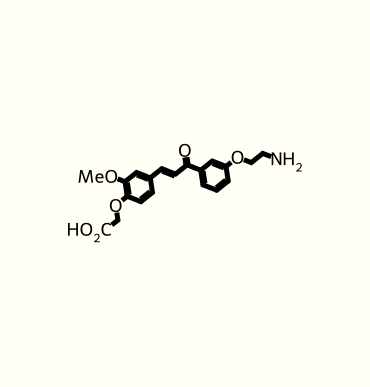 COc1cc(C=CC(=O)c2cccc(OCCN)c2)ccc1OCC(=O)O